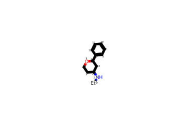 CCNC1CCOC(c2ccccc2)C1